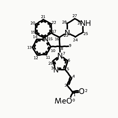 COC(=O)C=Cc1cn(C(C)(c2ccccn2)C(c2ccccc2)N2CCNCC2)cn1